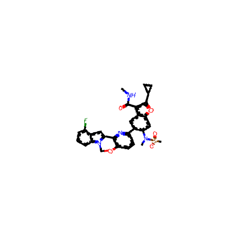 CNC(=O)c1c(C2CC2)oc2cc(N(C)S(C)(=O)=O)c(-c3ccc4c(n3)-c3cc5c(F)cccc5n3CO4)cc12